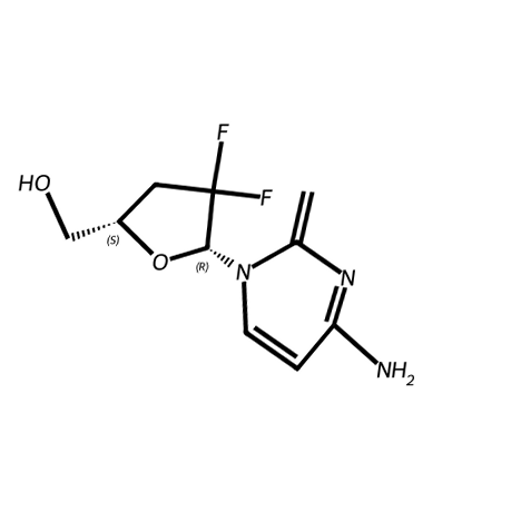 C=C1N=C(N)C=CN1[C@@H]1O[C@H](CO)CC1(F)F